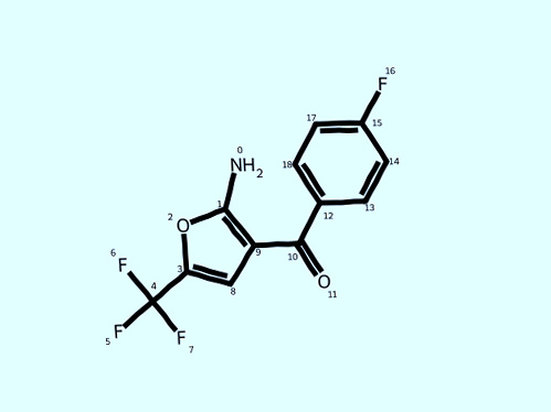 Nc1oc(C(F)(F)F)cc1C(=O)c1ccc(F)cc1